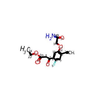 C#Cc1cc(F)c(C(=O)CC(=O)OCC)cc1OCC(N)=O